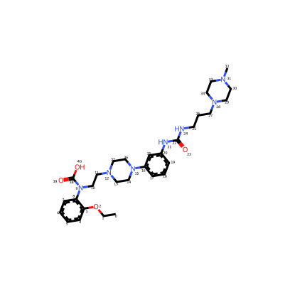 CCOc1ccccc1N(CCN1CCN(c2cccc(NC(=O)NCCCN3CCN(C)CC3)c2)CC1)C(=O)O